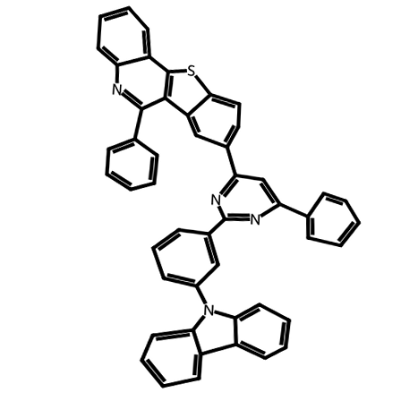 c1ccc(-c2cc(-c3ccc4sc5c6ccccc6nc(-c6ccccc6)c5c4c3)nc(-c3cccc(-n4c5ccccc5c5ccccc54)c3)n2)cc1